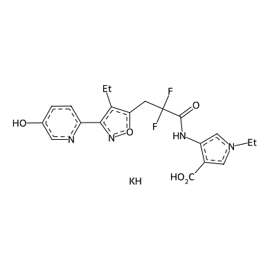 CCc1c(-c2ccc(O)cn2)noc1CC(F)(F)C(=O)Nc1cn(CC)cc1C(=O)O.[KH]